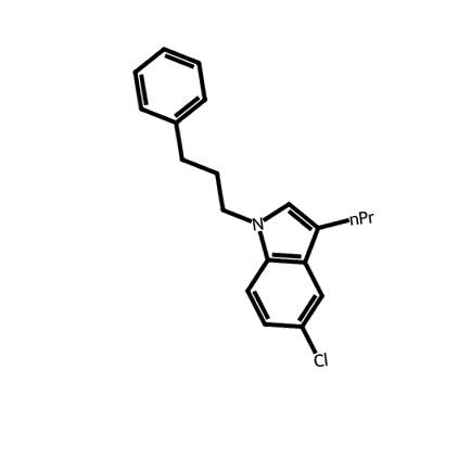 CCCc1cn(CCCc2ccccc2)c2ccc(Cl)cc12